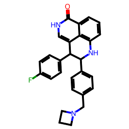 O=c1[nH]cc2c3c(cccc13)NC(c1ccc(CN3CCC3)cc1)C2c1ccc(F)cc1